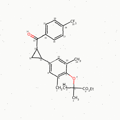 CCOC(=O)C(C)(C)Oc1c(C)cc(C2CC2C(=O)c2ccc(C(F)(F)F)cc2)cc1C